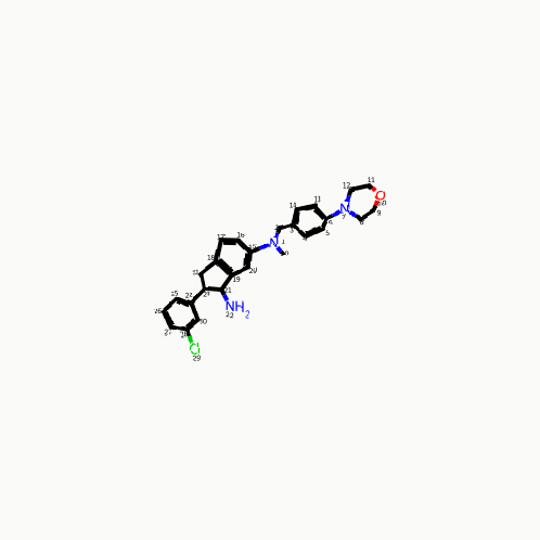 CN(Cc1ccc(N2CCOCC2)cc1)c1ccc2c(c1)C(N)C(c1cccc(Cl)c1)C2